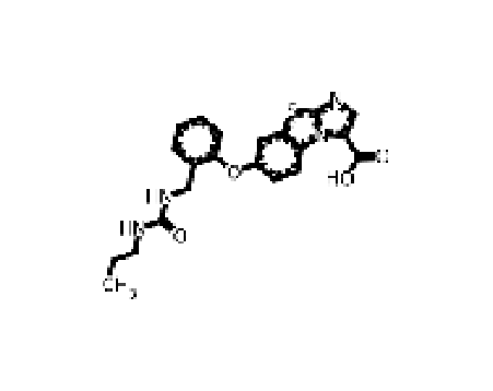 CCCNC(=O)NCc1ccccc1Oc1ccc2c(c1)sc1ncc(C(=O)O)n12